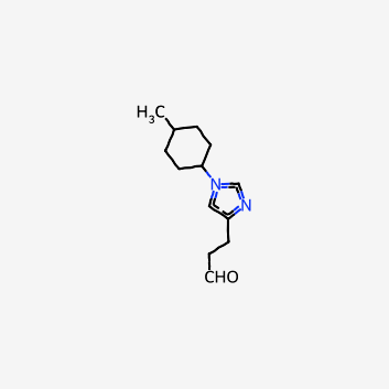 CC1CCC(n2cnc(CCC=O)c2)CC1